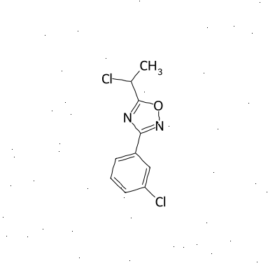 CC(Cl)c1nc(-c2cccc(Cl)c2)no1